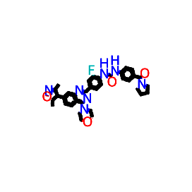 CC1=NOC(C)C1c1ccc2c(N3CCOCC3)nc(-c3ccc(NC(=O)Nc4ccc(C(=O)N5CCCC5)cc4)c(F)c3)nc2c1